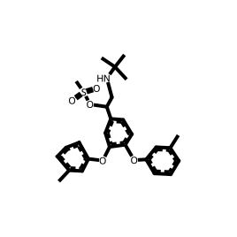 Cc1cccc(Oc2ccc(C(CNC(C)(C)C)OS(C)(=O)=O)cc2Oc2cccc(C)c2)c1